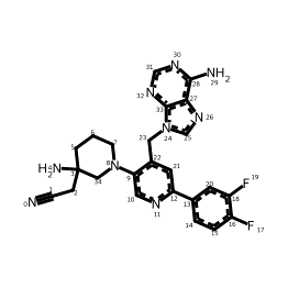 N#CCC1(N)CCCN(c2cnc(-c3ccc(F)c(F)c3)cc2Cn2cnc3c(N)ncnc32)C1